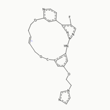 Fc1cnc2nc1-c1ccnc(c1)OCC/C=C/COCc1cc(cc(OCCn3ccnc3)c1)N2